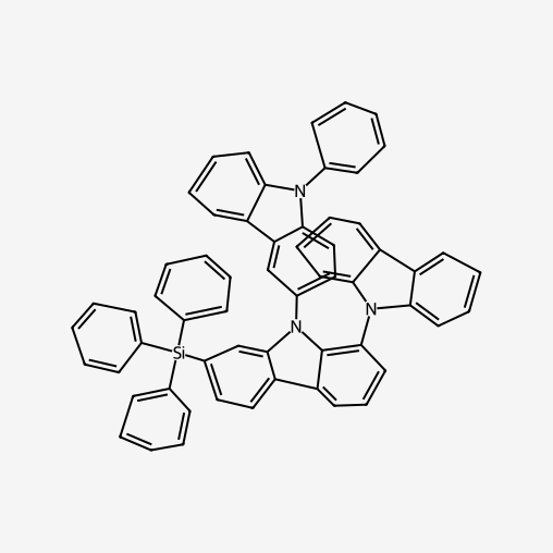 c1ccc(-n2c3ccccc3c3cc(-n4c5cc([Si](c6ccccc6)(c6ccccc6)c6ccccc6)ccc5c5cccc(-n6c7ccccc7c7ccccc76)c54)ccc32)cc1